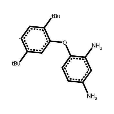 CC(C)(C)c1[c]cc(C(C)(C)C)c(Oc2ccc(N)cc2N)c1